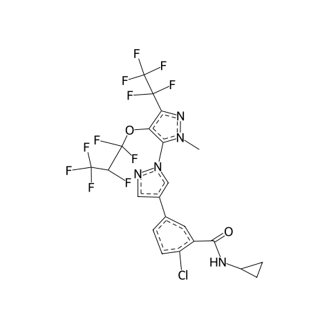 Cn1nc(C(F)(F)C(F)(F)F)c(OC(F)(F)C(F)C(F)(F)F)c1-n1cc(-c2ccc(Cl)c(C(=O)NC3CC3)c2)cn1